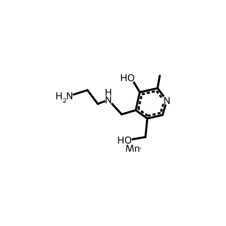 Cc1ncc(CO)c(CNCCN)c1O.[Mn]